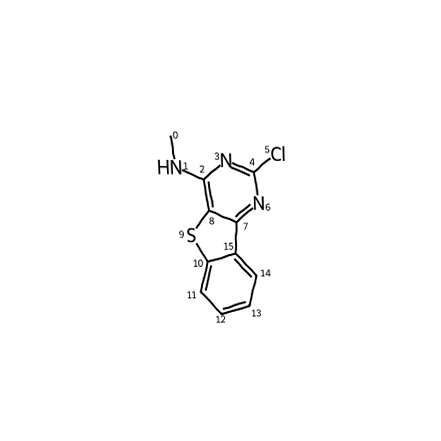 CNc1nc(Cl)nc2c1sc1ccccc12